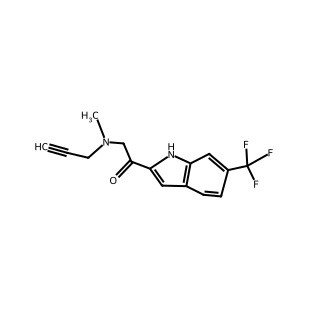 C#CCN(C)CC(=O)c1cc2ccc(C(F)(F)F)cc2[nH]1